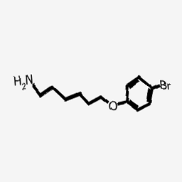 NCCCCCCOc1ccc(Br)cc1